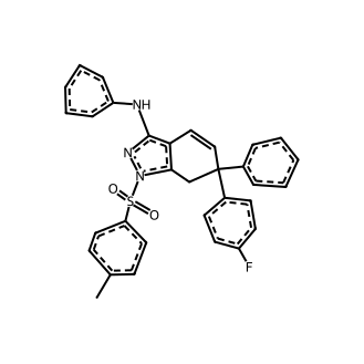 Cc1ccc(S(=O)(=O)n2nc(Nc3ccccc3)c3c2CC(c2ccccc2)(c2ccc(F)cc2)C=C3)cc1